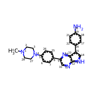 CN1CCN(c2ccc(-c3cnc4[nH]cc(-c5ccc(N)cc5)c4n3)cc2)CC1